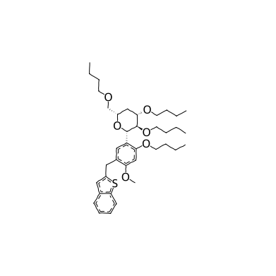 CCCCOC[C@@H]1C[C@H](OCCCC)[C@@H](OCCCC)[C@H](c2cc(Cc3cc4ccccc4s3)c(OC)cc2OCCCC)O1